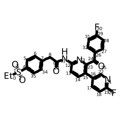 CCS(=O)(=O)c1ccc(CC(=O)Nc2ccc(-c3ccc(F)nc3)c(C(=O)c3ccc(F)cc3)n2)cc1